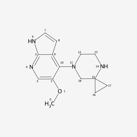 COc1cnc2[nH]ccc2c1N1CCNC2(CC2)C1